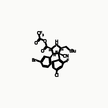 CC(C)(C)C[C@@H]1N[C@H](C(=O)OC(=O)C(F)(F)F)[C@H](c2cccc(Br)c2)[C@@]1(C#N)c1ccc(Cl)cc1F